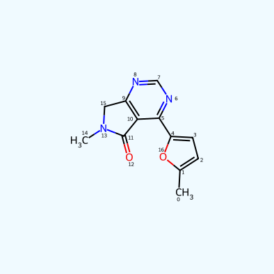 Cc1ccc(-c2ncnc3c2C(=O)N(C)C3)o1